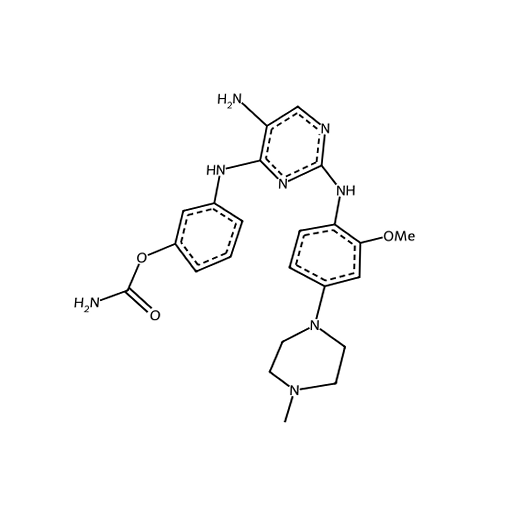 COc1cc(N2CCN(C)CC2)ccc1Nc1ncc(N)c(Nc2cccc(OC(N)=O)c2)n1